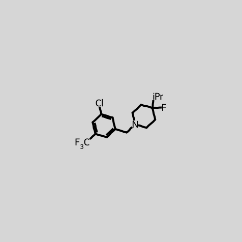 CC(C)C1(F)CCN(Cc2cc(Cl)cc(C(F)(F)F)c2)CC1